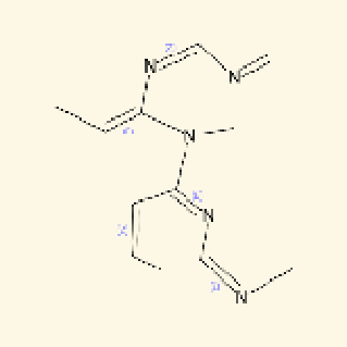 C=N/C=N\C(=C/C)N(C)C(/C=C\C)=N/C=N\C